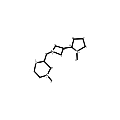 CN1CCOC(CN2CC(C3CCCN3C)C2)C1